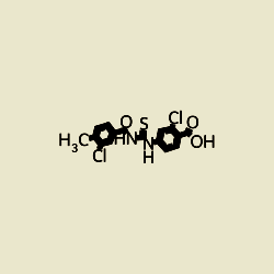 Cc1ccc(C(=O)NC(=S)Nc2ccc(C(=O)O)c(Cl)c2)cc1Cl